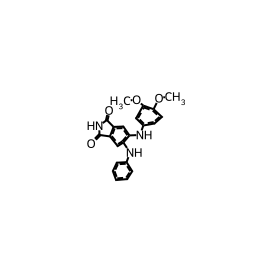 COc1ccc(Nc2cc3c(cc2Nc2ccccc2)C(=O)NC3=O)cc1OC